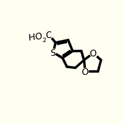 O=C(O)c1cc2c(s1)CCC1(C2)OCCO1